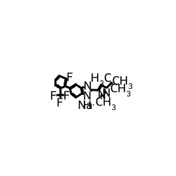 Cn1nc(C(C)(C)C)cc1-c1nc2cc(-c3c(F)cccc3C(F)(F)F)ccc2[nH]1.[Na]